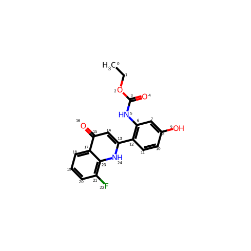 CCOC(=O)Nc1cc(O)ccc1-c1cc(=O)c2cccc(F)c2[nH]1